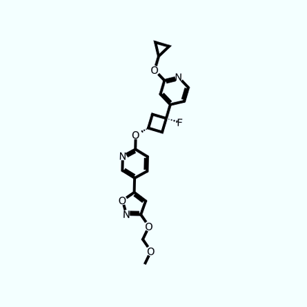 COCOc1cc(-c2ccc(O[C@H]3C[C@](F)(c4ccnc(OC5CC5)c4)C3)nc2)on1